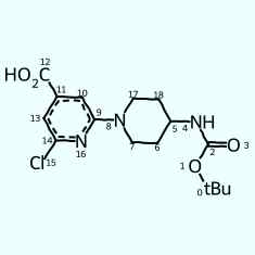 CC(C)(C)OC(=O)NC1CCN(c2cc(C(=O)O)cc(Cl)n2)CC1